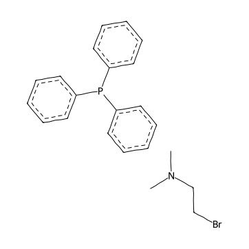 CN(C)CCBr.c1ccc(P(c2ccccc2)c2ccccc2)cc1